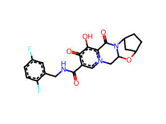 O=C(NCc1cc(F)ccc1F)c1cn2c(c(O)c1=O)C(=O)N1C3CCC(C3)OC1C2